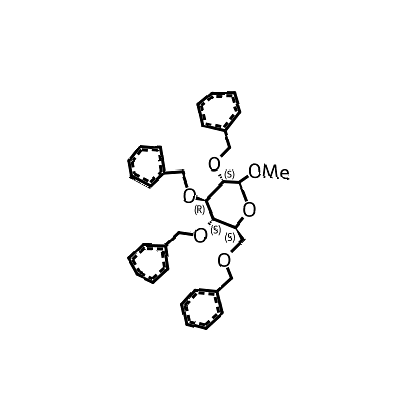 COC1O[C@@H](COCc2ccccc2)[C@H](OCc2ccccc2)[C@@H](OCc2ccccc2)[C@@H]1OCc1ccccc1